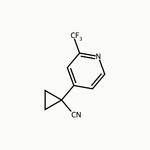 N#CC1(c2ccnc(C(F)(F)F)c2)CC1